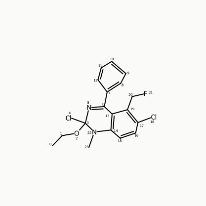 CCOC1(Cl)N=C(c2ccccc2)c2c(ccc(Cl)c2CF)N1C